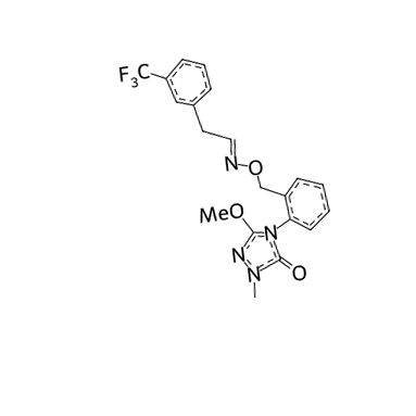 COc1nn(C)c(=O)n1-c1ccccc1CON=CCc1cccc(C(F)(F)F)c1